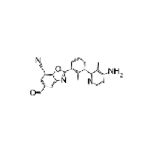 Cc1c(-c2nc3cc(C=O)cc(C#N)c3o2)cccc1-c1nccc(N)c1C